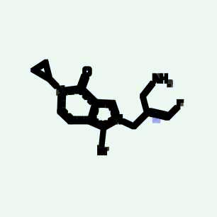 NC/C(=C\F)Cn1cc2c(=O)n(C3CC3)ccc2c1Br